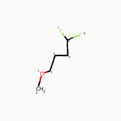 [CH2]OCCCC(F)F